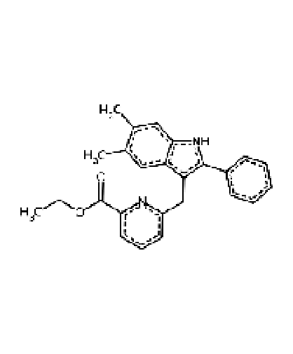 CCOC(=O)c1cccc(Cc2c(-c3ccccc3)[nH]c3cc(C)c(C)cc23)n1